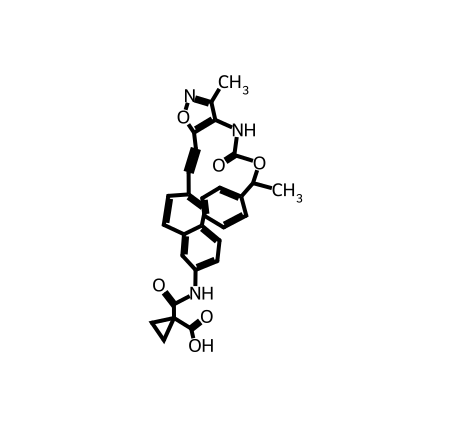 Cc1noc(C#Cc2ccc3cc(NC(=O)C4(C(=O)O)CC4)ccc3c2)c1NC(=O)OC(C)c1ccccc1